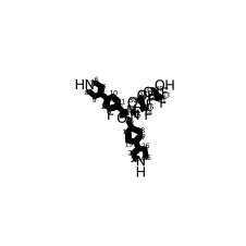 Fc1cc(C2=CCNCC2)ccc1-c1nnc(-c2ccc(C3=CCNCC3)cc2)o1.O=C(O)C(F)(F)F.O=C(O)C(F)(F)F